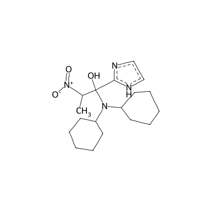 CC([N+](=O)[O-])C(O)(c1ncc[nH]1)N(C1CCCCC1)C1CCCCC1